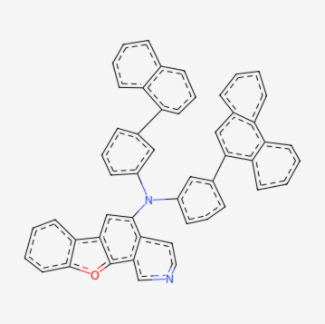 c1cc(-c2cccc3ccccc23)cc(N(c2cccc(-c3cc4ccccc4c4ccccc34)c2)c2cc3c4ccccc4oc3c3cnccc23)c1